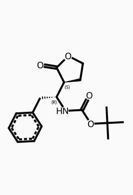 CC(C)(C)OC(=O)N[C@H](Cc1ccccc1)[C@@H]1CCOC1=O